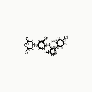 CC1CN(c2cnn(Cc3c(-c4ccc(Cl)cc4F)nnn3C)c(=O)c2)CC(C)O1